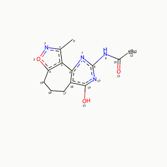 Cc1noc2c1-c1nc(NC(=O)C(C)(C)C)nc(O)c1CCC2